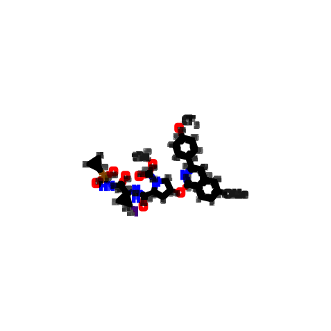 COc1ccc2c(O[C@@H]3C[C@@H](C(=O)N[C@]4(C(=O)NS(=O)(=O)C5CC5)C[C@H]4I)N(C(=O)OC(C)(C)C)C3)nc(-c3ccc(OC(F)(F)F)cc3)cc2c1